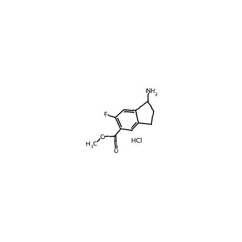 COC(=O)c1cc2c(cc1F)C(N)CC2.Cl